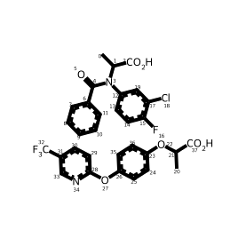 CC(C(=O)O)N(C(=O)c1ccccc1)c1ccc(F)c(Cl)c1.CC(Oc1ccc(Oc2ccc(C(F)(F)F)cn2)cc1)C(=O)O